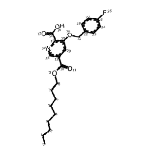 CCCCCCCCCOC(=O)c1cnc(C(=O)O)c(OCc2ccc(F)cc2)c1